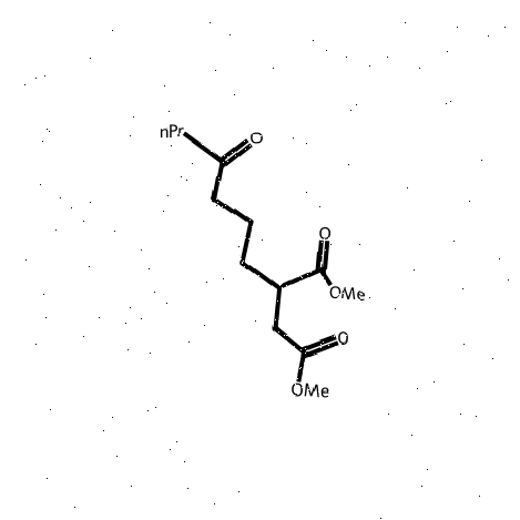 CCCC(=O)CCCC(CC(=O)OC)C(=O)OC